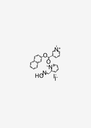 C[n+]1cccc(C(=O)Oc2ccc3ccccc3c2)c1.C[n+]1ccccc1C=NO.[I-].[I-]